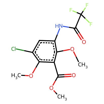 COC(=O)c1c(OC)c(Cl)cc(NC(=O)C(F)(F)F)c1OC